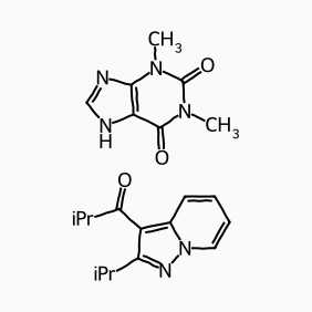 CC(C)C(=O)c1c(C(C)C)nn2ccccc12.Cn1c(=O)c2[nH]cnc2n(C)c1=O